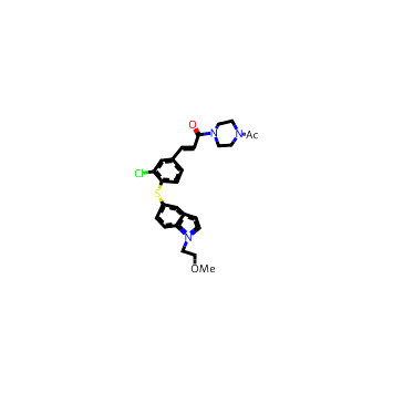 COCCn1ccc2cc(Sc3ccc(C=CC(=O)N4CCN(C(C)=O)CC4)cc3Cl)ccc21